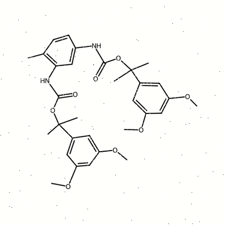 COc1cc(OC)cc(C(C)(C)OC(=O)Nc2ccc(C)c(NC(=O)OC(C)(C)c3cc(OC)cc(OC)c3)c2)c1